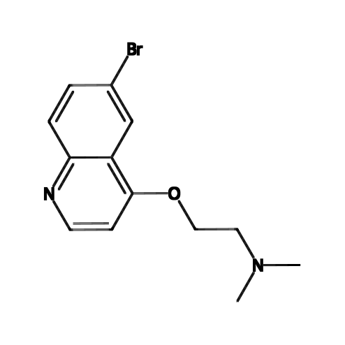 CN(C)CCOc1ccnc2ccc(Br)cc12